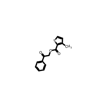 Cc1ccsc1C(=O)OCC(=O)c1ccccc1